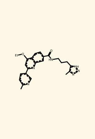 CCOc1cc(-c2ccc(C)nc2)nc2cc(C(=O)NCCCc3[nH]nnc3C)ccc12